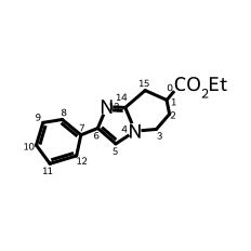 CCOC(=O)C1CCn2cc(-c3ccccc3)nc2C1